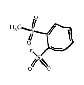 CS(=O)(=O)c1ccccc1S(=O)(=O)F